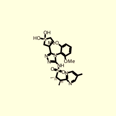 COc1cccc(OC)c1-n1c(NS(=O)(=O)[C@@H](C)[C@H](C)c2ncc(C)cn2)nnc1C1CCS(O)(O)C1